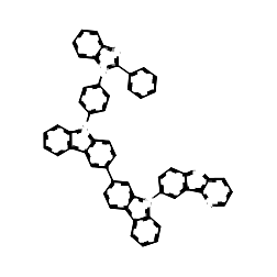 c1ccc(-c2nc3ccccc3n2-c2ccc(-n3c4ccccc4c4cc(-c5ccc6c7ccccc7n(-c7ccc8oc9cccnc9c8c7)c6c5)ccc43)cc2)cc1